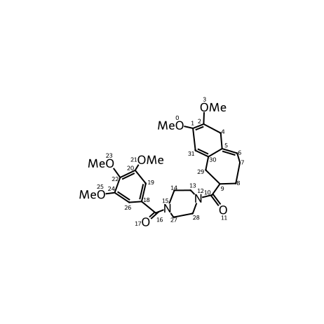 COC1=C(OC)CC2=CCCC(C(=O)N3CCN(C(=O)c4cc(OC)c(OC)c(OC)c4)CC3)CC2=C1